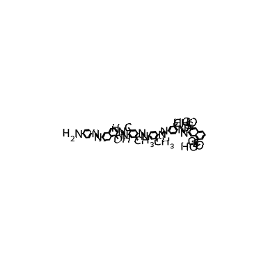 Cc1cc(N=Nc2cc(C)c(N=Nc3ccc4cc(N=Nc5ccc(N)cc5)ccc4c3O)cc2C)ccc1N=Nc1ccc(N=Nc2cc3c(S(=O)(=O)O)cccc3cc2S(=O)(=O)O)c(C)c1